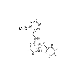 COc1ccccc1CN[C@H]1CCCN[C@H]1Cc1ccccc1